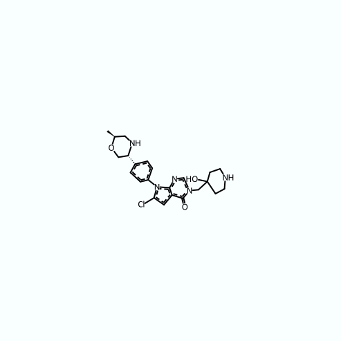 C[C@H]1CN[C@H](c2ccc(-n3c(Cl)cc4c(=O)n(CC5(O)CCNCC5)cnc43)cc2)CO1